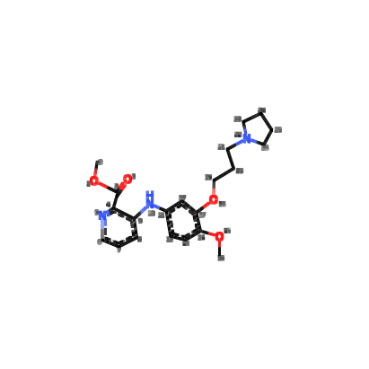 COC(=O)c1ncccc1Nc1ccc(OC)c(OCCCN2CCCC2)c1